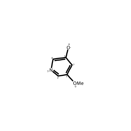 COc1cncc([O])c1